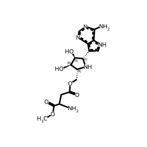 COC(=O)C(N)CC(=O)OC[C@H]1N[C@@H](c2c[nH]c3c(N)ncnc23)[C@H](O)[C@@H]1O